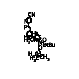 CC(C)(C)OC(=O)N(COCC[Si](C)(C)C)C1=N[C@](C)(c2cc(/C=C(\F)c3ccc(C#N)cn3)ccc2F)[C@@H]2C[C@]2(C(=O)O)S1